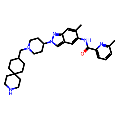 Cc1cccc(C(=O)Nc2cc3cn(C4CCN(CC5CCC6(CCNCC6)CC5)CC4)nc3cc2C)n1